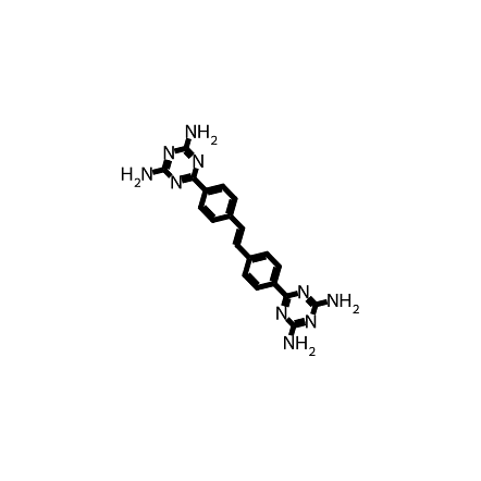 Nc1nc(N)nc(-c2ccc(/C=C/c3ccc(-c4nc(N)nc(N)n4)cc3)cc2)n1